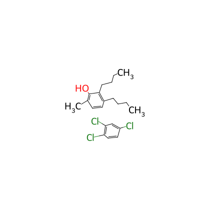 CCCCc1ccc(C)c(O)c1CCCC.Clc1ccc(Cl)c(Cl)c1